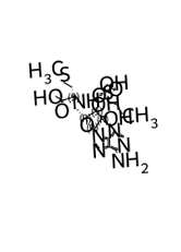 CCCCS(=O)(=O)O.CSCC[C@H](NC[C@H]1O[C@@H](n2cnc3c(N)ncnc32)[C@H](O)[C@@H]1O)C(=O)O